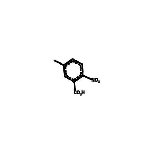 Cc1ccc([N+](=O)[O-])c(C(=O)O)c1